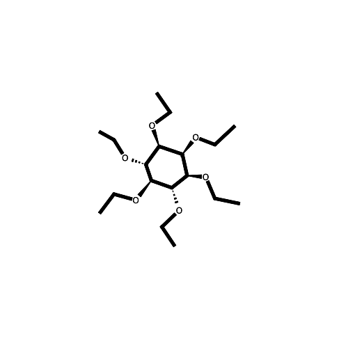 CCO[C@H]1[C@H](OCC)[C@@H](OCC)[C@H](OCC)[C@@H](OCC)[C@H]1OCC